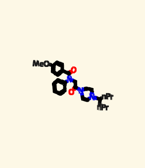 CCCC(CCC)N1CCN(C(=O)CN(C(=O)c2ccc(OC)cc2)c2ccccc2)CC1